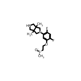 C[S@+]([O-])CCOc1cc(N2CC3(C)CNCC3(C)C2)c(F)cc1F